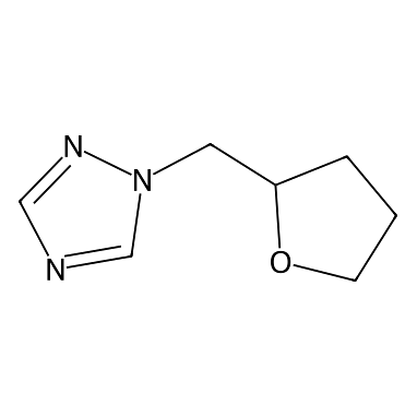 c1ncn(CC2CCCO2)n1